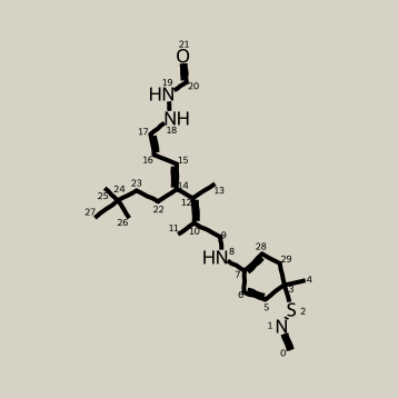 C=NSC1(C)C=CC(NC/C(C)=C(C)/C(=C/C=C\NNC=O)CCC(C)(C)C)=CC1